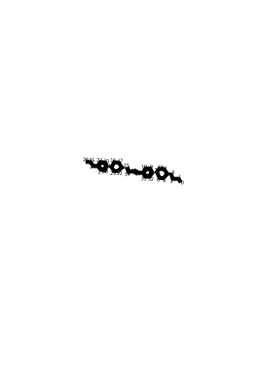 CCCC[C@H]1CC[C@H](c2ccc(C#C/C=C/[C@H]3CC[C@H](c4ccc(CCC)cc4)CC3)cc2)CC1